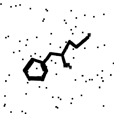 NC(CCF)Cc1ccccc1